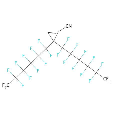 N#CC1=CC1(C(F)(F)C(F)(F)C(F)(F)C(F)(F)C(F)(F)C(F)(F)F)C(F)(F)C(F)(F)C(F)(F)C(F)(F)C(F)(F)C(F)(F)F